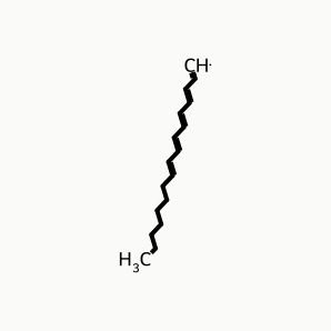 [CH]=CC=CC=CC=CC=CCCCCCCC